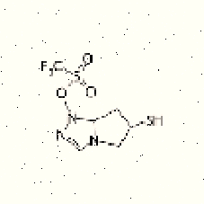 O=S(=O)(ON1N=CN2CC(S)CC21)C(F)(F)F